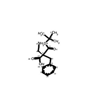 CC(C)(C)OC(=O)[C@](CN)(Cc1ccccc1)C(=O)O